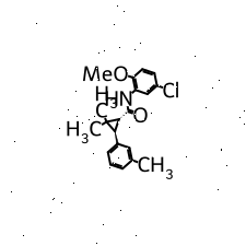 COc1ccc(Cl)cc1NC(=O)[C@@H]1[C@@H](c2cccc(C)c2)C1(C)C